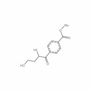 CC(C)(C)OC(=O)c1ccc(C(=O)C(S)CCO)cc1